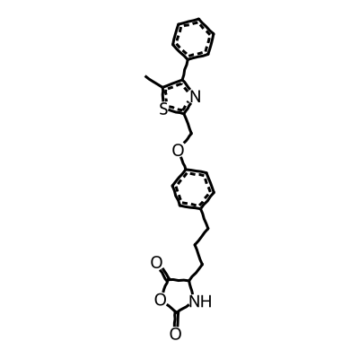 Cc1sc(COc2ccc(CCCC3NC(=O)OC3=O)cc2)nc1-c1ccccc1